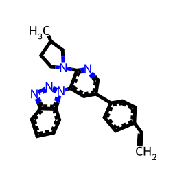 C=Cc1ccc(-c2cnc(N3CCC(C)C3)c(-n3nnc4ccccc43)c2)cc1